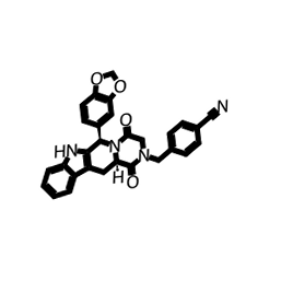 N#Cc1ccc(CN2CC(=O)N3[C@H](c4ccc5c(c4)OCO5)c4[nH]c5ccccc5c4C[C@@H]3C2=O)cc1